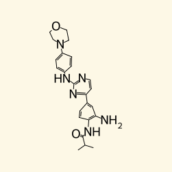 CC(C)C(=O)Nc1ccc(-c2ccnc(Nc3ccc(N4CCOCC4)cc3)n2)cc1N